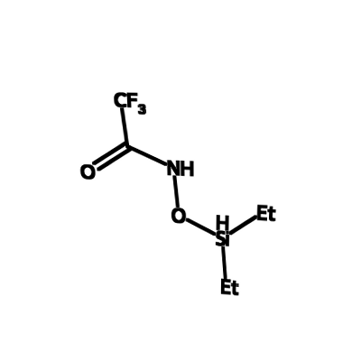 CC[SiH](CC)ONC(=O)C(F)(F)F